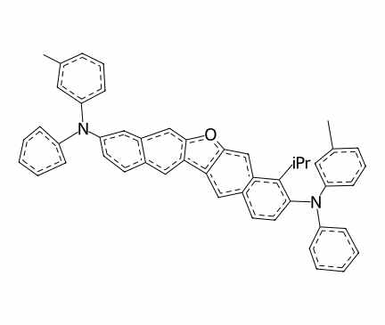 Cc1cccc(N(c2ccccc2)c2ccc3cc4c(cc3c2)oc2cc3c(C(C)C)c(N(c5ccccc5)c5cccc(C)c5)ccc3cc24)c1